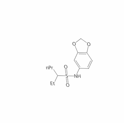 CCCC(CC)S(=O)(=O)Nc1ccc2c(c1)OCO2